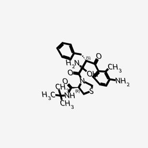 Cc1c(N)cccc1C(=O)[C@@H](Cc1ccccc1)[C@](N)(O)C(=O)N1CSC[C@H]1C(=O)NC(C)(C)C